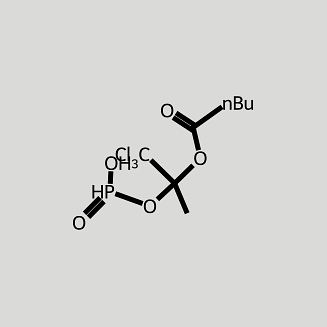 CCCCC(=O)OC(C)(O[PH](=O)O)C(Cl)(Cl)Cl